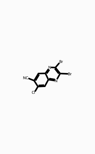 N#Cc1cc2nc(Br)c(Br)nc2cc1Cl